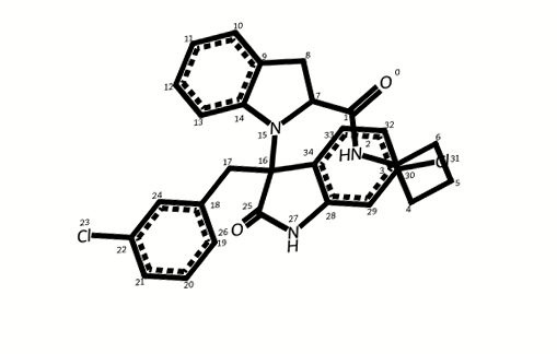 O=C(NC1CCC1)C1Cc2ccccc2N1C1(Cc2cccc(Cl)c2)C(=O)Nc2cc(Cl)ccc21